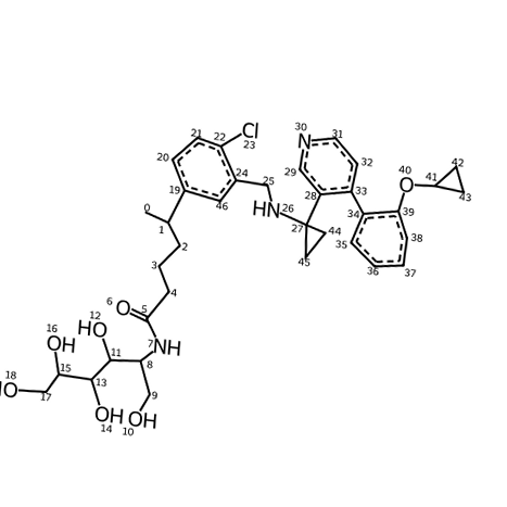 CC(CCCC(=O)NC(CO)C(O)C(O)C(O)CO)c1ccc(Cl)c(CNC2(c3cnccc3-c3ccccc3OC3CC3)CC2)c1